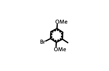 COc1cc(C)c(OC)c(Br)c1